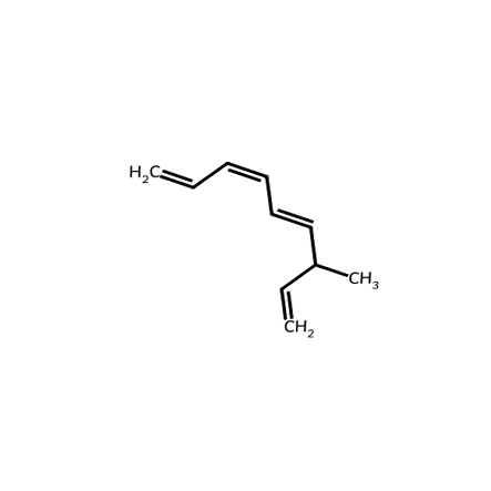 C=C/C=C\C=C\C(C)C=C